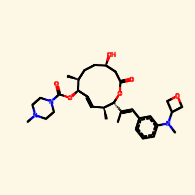 C/C(=C\c1cccc(N(C)C2COC2)c1)[C@H]1OC(=O)C[C@H](O)CC[C@H](C)[C@H](OC(=O)N2CCN(C)CC2)/C=C/[C@@H]1C